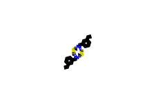 C=Cc1cccc(CN2CSCN(Cc3cccc(C=C)c3)CSC2)c1